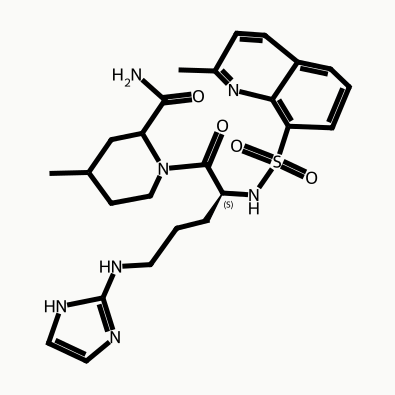 Cc1ccc2cccc(S(=O)(=O)N[C@@H](CCCNc3ncc[nH]3)C(=O)N3CCC(C)CC3C(N)=O)c2n1